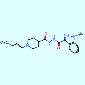 COCCCN1CCC(C(=O)NNC(=O)C(=N)c2ccccc2NC(C)C)CC1